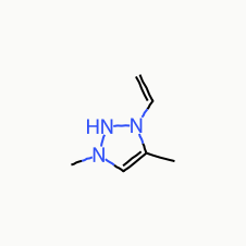 C=CN1NN(C)C=C1C